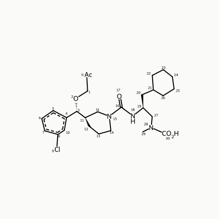 CC(=O)CO[C@@H](c1cccc(Cl)c1)[C@@H]1CCCN(C(=O)N[C@@H](CC2CCCCC2)CN(C)C(=O)O)C1